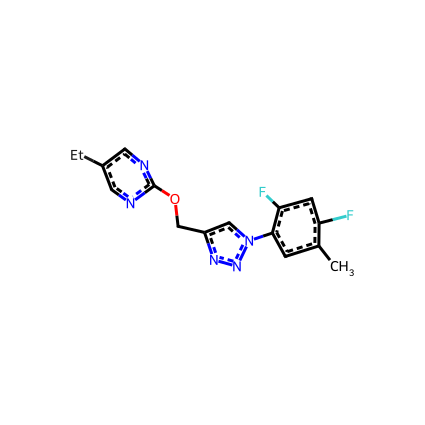 CCc1cnc(OCc2cn(-c3cc(C)c(F)cc3F)nn2)nc1